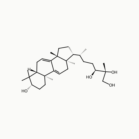 C[C@H](CC[C@H](O)[C@](C)(O)CO)[C@H]1CC[C@@]2(C)C3=CC[C@H]4C(C)(C)[C@@H](O)CC[C@]4(C)C3=CC[C@]12C